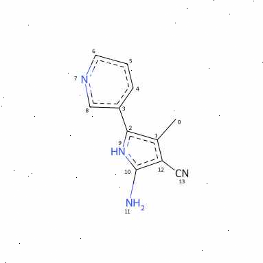 Cc1c(-c2cccnc2)[nH]c(N)c1C#N